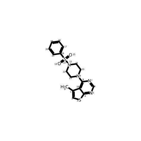 Cc1csc2ncnc(N3CCN(S(=O)(=O)c4ccccc4)CC3)c12